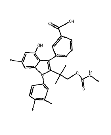 CNC(=O)OCC(C)(C)c1c(-c2cccc(C(=O)O)c2)c2c(O)cc(F)cc2n1-c1ccc(F)c(C)c1